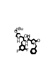 CCCCO[C@H]1CN[C@@H]([C@@H](O)[C@H](Cc2cc(F)cc(F)c2)NC(=O)C2CC(=O)N(Cc3cc#ccc3)C2)C1